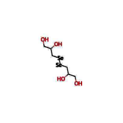 OCC(O)C[Se][Se]CC(O)CO